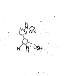 Cn1ccc(Nc2nccc(-c3cc(C#N)c4c(c3)[C@@](C)(CO[Si](C)(C)C(C)(C)C)CN4)n2)n1